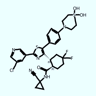 N#CC1(NC(=O)[C@@H]2CCC(F)(F)C[C@H]2c2nc(-c3cncc(Cl)c3)sc2-c2ccc(N3CCS(O)(O)CC3)cc2)CC1